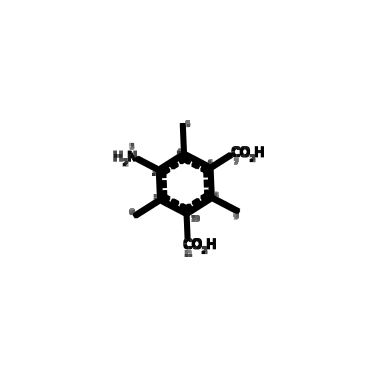 Cc1c(N)c(C)c(C(=O)O)c(C)c1C(=O)O